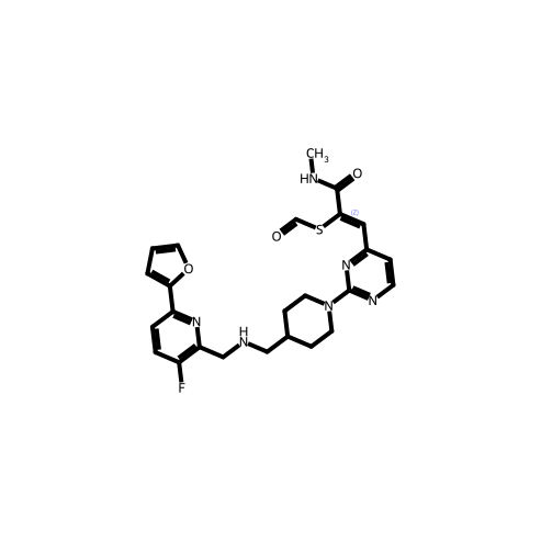 CNC(=O)/C(=C/c1ccnc(N2CCC(CNCc3nc(-c4ccco4)ccc3F)CC2)n1)SC=O